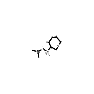 C[Si](C)O[SiH2]C1CCCCCC1